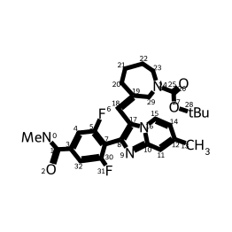 CNC(=O)c1cc(F)c(-c2nc3cc(C)ccn3c2C=C2CCCCN(C(=O)OC(C)(C)C)C2)c(F)c1